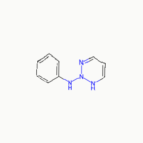 C1=CNN(Nc2ccccc2)N=C1